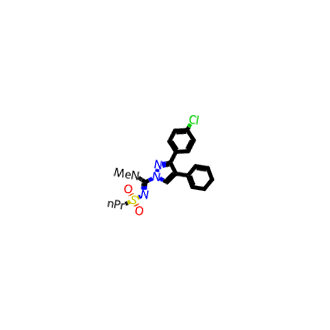 CCCS(=O)(=O)N=C(NC)n1cc(C2=CCCC=C2)c(-c2ccc(Cl)cc2)n1